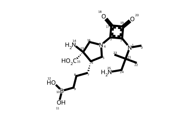 CN(c1c(N2C[C@H](CCCB(O)O)[C@](N)(C(=O)O)C2)c(=O)c1=O)C(C)(C)CN